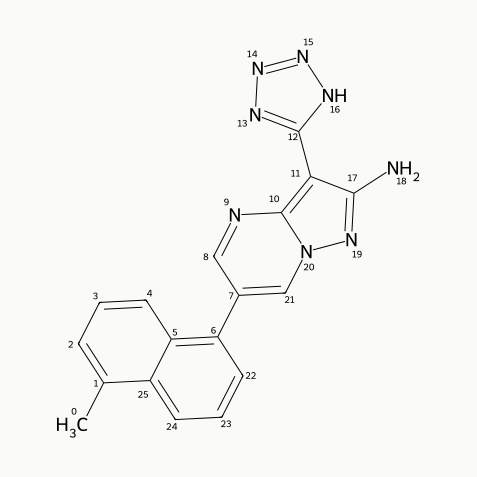 Cc1cccc2c(-c3cnc4c(-c5nnn[nH]5)c(N)nn4c3)cccc12